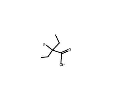 CCC(Br)(CC)C(=O)O